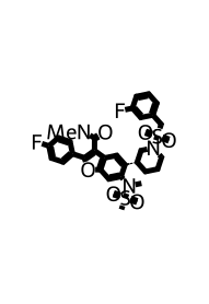 CNC(=O)c1c(-c2ccc(F)cc2)oc2cc(N(C)S(C)(=O)=O)c([C@H]3CCCN(S(=O)(=O)Cc4cccc(F)c4)C3)cc12